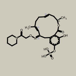 C/C1=C\C(=N/OCC(=O)N2CCCCC2)Cc2cc(OP(=O)(O)O)cc(O)c2C(=O)O[C@H](C)C/C=C/CC1